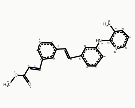 COC(=O)/C=C/c1cncc(C=Cc2cccc(Nc3ncccc3N)c2)c1